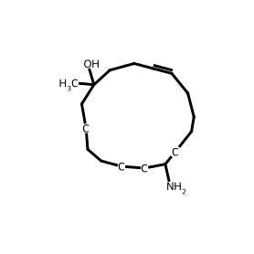 CC1(O)CC/C=C\CCCCC(N)CCCCCC1